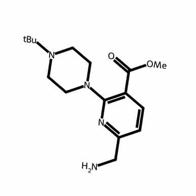 COC(=O)c1ccc(CN)nc1N1CCN(C(C)(C)C)CC1